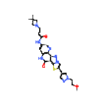 COCCn1cc(-c2cn3nc4c5ncc(NC(=O)CCN6CC(C)(C)C6)cc5[nH]c(=O)c4c3s2)cn1